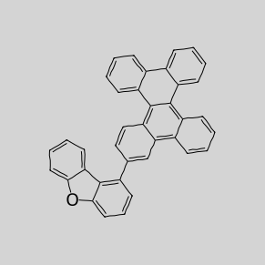 c1ccc2c(c1)oc1cccc(-c3ccc4c(c3)c3ccccc3c3c5ccccc5c5ccccc5c43)c12